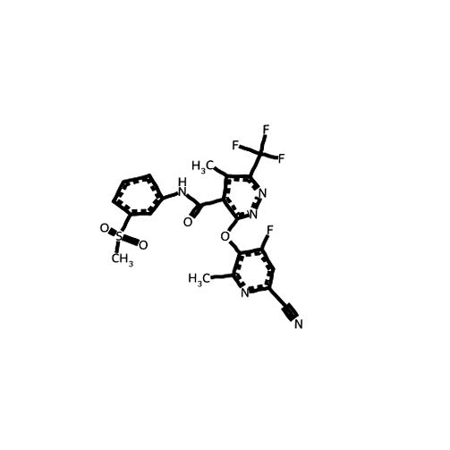 Cc1nc(C#N)cc(F)c1Oc1nnc(C(F)(F)F)c(C)c1C(=O)Nc1cccc(S(C)(=O)=O)c1